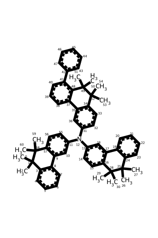 CC1(C)c2ccccc2-c2cc(N(c3ccc4c(c3)-c3ccccc3C(C)(C)C4(C)C)c3ccc4c(c3)-c3cccc(-c5ccccc5)c3C(C)(C)C4(C)C)ccc2C1(C)C